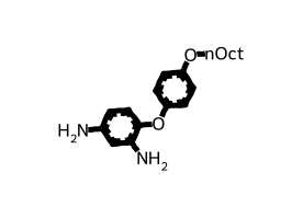 CCCCCCCCOc1ccc(Oc2ccc(N)cc2N)cc1